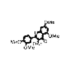 COc1cc(OC)c2c(=O)c(OC(C)=O)c(-c3ccc(OC)c(OC)c3)oc2c1